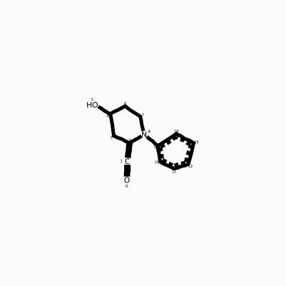 O=C=C1CC(O)CCN1c1ccccc1